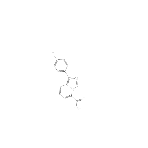 O=C(O)c1cccc2c(-c3ccc(F)cc3)ncn12